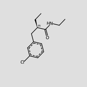 CCNC(=O)[C@H](CC)Cc1cccc(Cl)c1